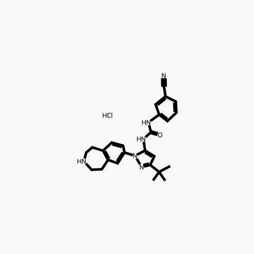 CC(C)(C)c1cc(NC(=O)Nc2cccc(C#N)c2)n(-c2ccc3c(c2)CCNCC3)n1.Cl